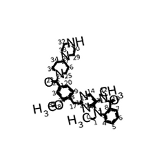 CCN1c2ccccc2C(=O)N(C)c2cnc(Cc3ccc(C(=O)N4CCC(N5CCNCC5)CC4)cc3OC)nc21